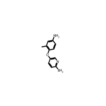 Bc1ccc(Oc2ccc(N)cc2C)cn1